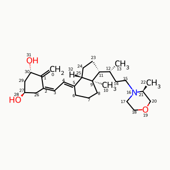 C=C1/C(=C\C=C2/CCC[C@]3(C)[C@@H]([C@H](C)CCN4CCOC[C@@H]4C)CC[C@@H]23)C[C@@H](O)C[C@@H]1O